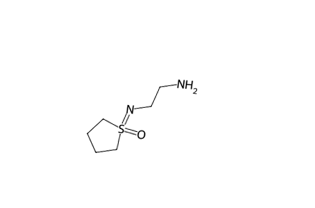 NCCN=S1(=O)CCCC1